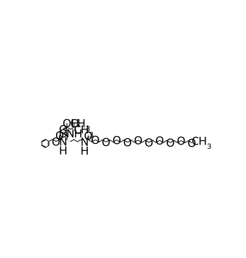 COCCOCCOCCOCCOCCOCCOCCOCCOCCOCC(=O)NCCCC[C@H](NC(=O)OCc1ccccc1)C(=O)N[C@H](C(=O)O)C(C)C